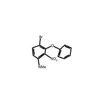 CNc1ccc(Br)c(Oc2ccccc2)c1[N+](=O)[O-]